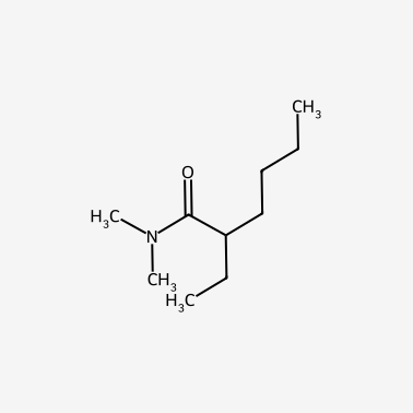 CCCCC(CC)C(=O)N(C)C